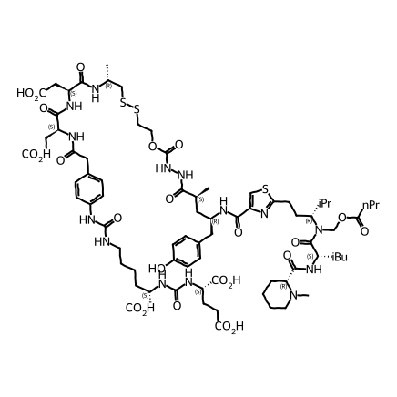 CCCC(=O)OCN(C(=O)[C@@H](NC(=O)[C@H]1CCCCN1C)C(C)CC)[C@H](CCc1nc(C(=O)N[C@@H](Cc2ccc(O)cc2)C[C@H](C)C(=O)NNC(=O)OCCSSC[C@@H](C)NC(=O)[C@H](CC(=O)O)NC(=O)[C@H](CC(=O)O)NC(=O)Cc2ccc(NC(=O)NCCCC[C@H](NC(=O)N[C@@H](CCC(=O)O)C(=O)O)C(=O)O)cc2)cs1)C(C)C